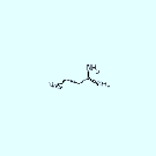 C=C(N)CCSC